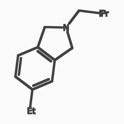 CCc1ccc2c(c1)CN(CC(C)C)C2